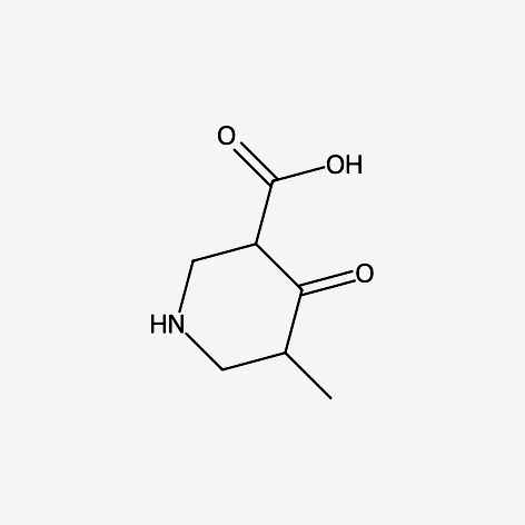 CC1CNCC(C(=O)O)C1=O